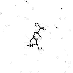 O=C(Cl)c1cc2c(s1)C(=O)NC2